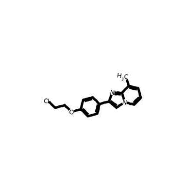 Cc1cccn2cc(-c3ccc(OCCCl)cc3)nc12